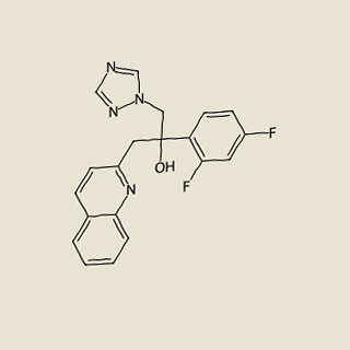 OC(Cc1ccc2ccccc2n1)(Cn1cncn1)c1ccc(F)cc1F